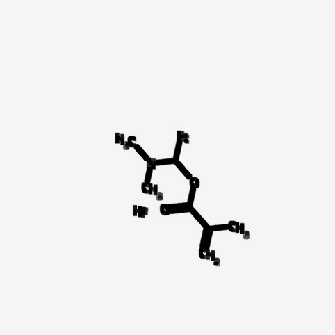 C=C(C)C(=O)OC(CC)N(C)C.F